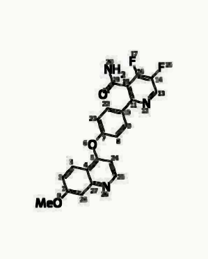 COc1ccc2c(Oc3ccc(-c4ncc(F)c(F)c4C(N)=O)cc3)ccnc2c1